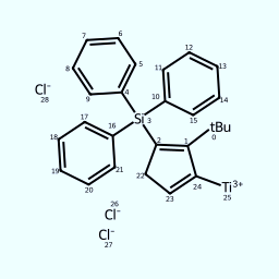 CC(C)(C)C1=C([Si](c2ccccc2)(c2ccccc2)c2ccccc2)CC=[C]1[Ti+3].[Cl-].[Cl-].[Cl-]